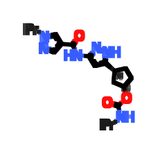 CC(C)NC(=O)O[C@@H]1CC[C@H](c2cc(NC(=O)c3cnn(C(C)C)c3)n[nH]2)C1